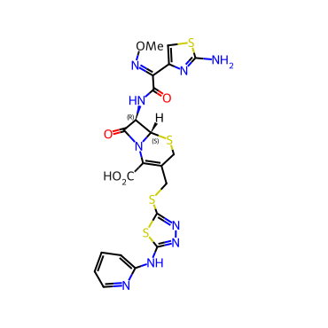 CON=C(C(=O)N[C@@H]1C(=O)N2C(C(=O)O)=C(CSc3nnc(Nc4ccccn4)s3)CS[C@@H]12)c1csc(N)n1